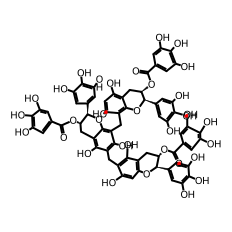 O=C(O[C@@H]1Cc2c(cc(O)c(Cc3c(O)c(Cc4c(O)cc(O)c5c4O[C@H](c4cc(O)c(O)c(O)c4)[C@H](OC(=O)c4cc(O)c(O)c(O)c4)C5)c4c(c3O)C[C@@H](OC(=O)c3cc(O)c(O)c(O)c3)[C@@H](c3cc(O)c(O)c(O)c3)O4)c2O)O[C@@H]1c1cc(O)c(O)c(O)c1)c1cc(O)c(O)c(O)c1